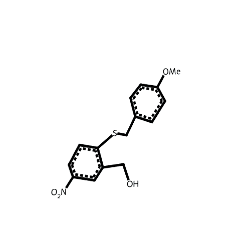 COc1ccc(CSc2ccc([N+](=O)[O-])cc2CO)cc1